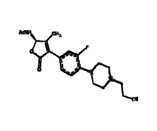 CC(=O)N[C@@H]1OC(=O)C(c2ccc(N3CCN(CCC#N)CC3)c(F)c2)=C1C